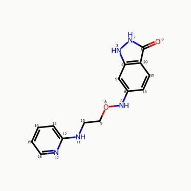 O=c1[nH][nH]c2cc(NOCCNc3ccccn3)ccc12